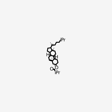 CC(C)CCC[C@@H](C)C1CCC2[C@@H]3CC=C4C[C@@H](OC(=O)C(C)C)CC[C@]4(C)[C@H]3CC[C@]12C